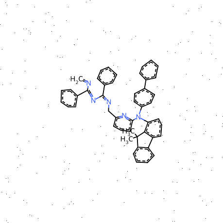 C=N/C(=N\C(=N/Cc1cccc(N(c2ccc(-c3ccccc3)cc2)c2cccc3c2C(C)(C)c2ccccc2-3)n1)c1ccccc1)c1ccccc1